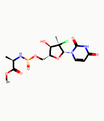 CC(C)OC(=O)[C@@H](C)N[PH](=O)OC[C@H]1O[C@@H](n2ccc(=O)[nH]c2=O)[C@](C)(Cl)[C@@H]1O